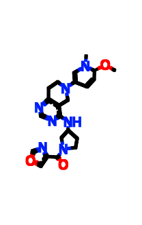 CO[C@H]1C=CC(N2CCc3ncnc(NC4CCN(C(=O)c5cocn5)C4)c3C2)=CN1C